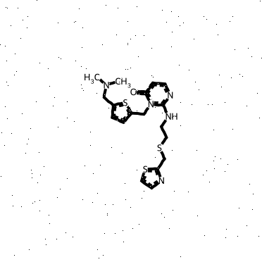 CN(C)Cc1ccc(Cn2c(NCCSCc3nccs3)nccc2=O)s1